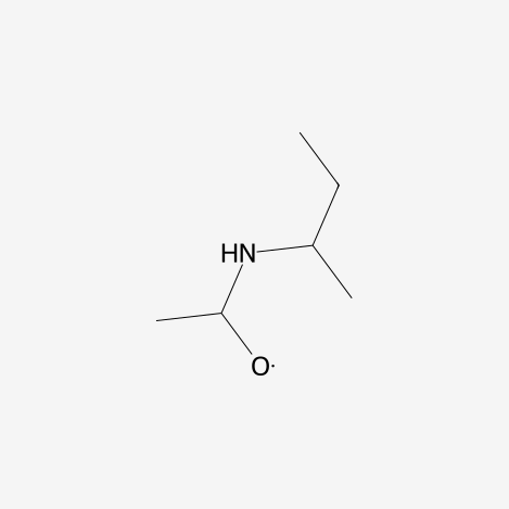 CCC(C)NC(C)[O]